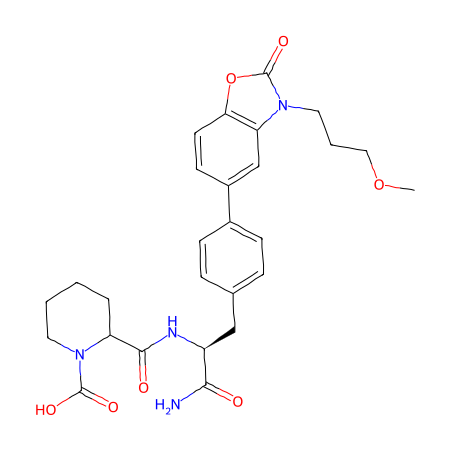 COCCCn1c(=O)oc2ccc(-c3ccc(C[C@H](NC(=O)C4CCCCN4C(=O)O)C(N)=O)cc3)cc21